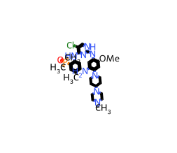 COc1cc(N2CCC(N3CCN(C)CC3)CC2)c(N)cc1Nc1ncc(Cl)c(Nc2ccc(C)cc2P(C)(C)=O)n1